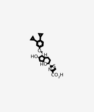 O=C(O)c1csc([C@H]2CC[C@@H]3[C@@H](COc4ccc(C5CC5)c(C5CC5)c4)[C@@H](O)C[C@@H]3O2)n1